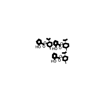 CC(C)[C@@H]1CC[C@@H](C)C[C@H]1OC(=O)c1ccccc1O.CC(C)[C@@H]1CC[C@@H](C)C[C@H]1OC(=O)c1ccccc1O.CC(C)[C@@H]1CC[C@@H](C)C[C@H]1OC(=O)c1ccccc1O